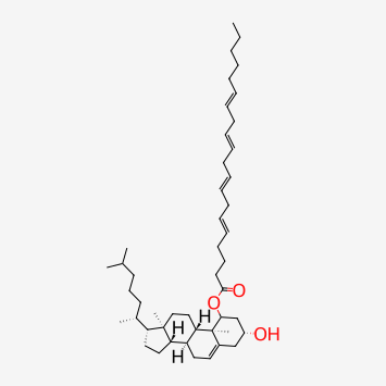 CCCCCC=CCC=CCC=CCC=CCCCC(=O)OC1C[C@H](O)CC2=CC[C@H]3[C@@H]4CC[C@H]([C@H](C)CCCC(C)C)[C@@]4(C)CC[C@@H]3[C@]21C